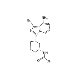 Nc1nccn2c([C@H]3CCC[C@@H](NC(=O)O)C3)nc(Br)c12